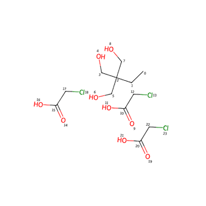 CCC(CO)(CO)CO.O=C(O)CCl.O=C(O)CCl.O=C(O)CCl